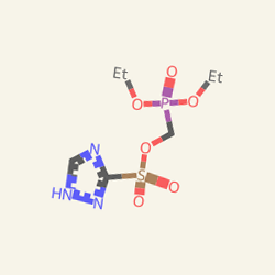 CCOP(=O)(COS(=O)(=O)c1nc[nH]n1)OCC